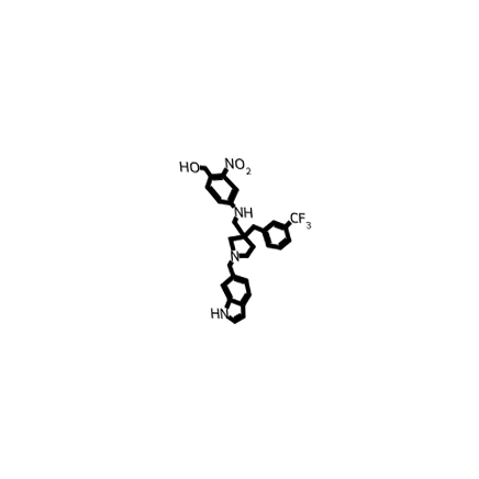 O=[N+]([O-])c1cc(NCC2(Cc3cccc(C(F)(F)F)c3)CCN(Cc3ccc4cc[nH]c4c3)C2)ccc1CO